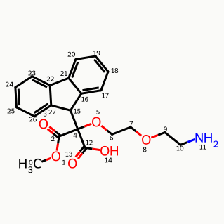 COC(=O)C(OCCOCCN)(C(=O)O)C1c2ccccc2-c2ccccc21